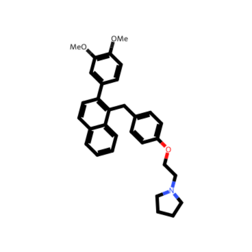 COc1ccc(-c2ccc3ccccc3c2Cc2ccc(OCCN3CCCC3)cc2)cc1OC